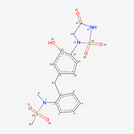 CN(c1ccccc1Cc1ccc(N2CC(=O)NS2(=O)=O)c(O)c1)S(C)(=O)=O